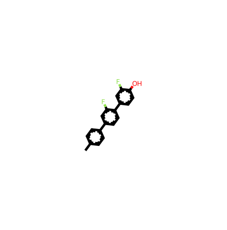 Cc1ccc(-c2ccc(-c3ccc(O)c(F)c3)c(F)c2)cc1